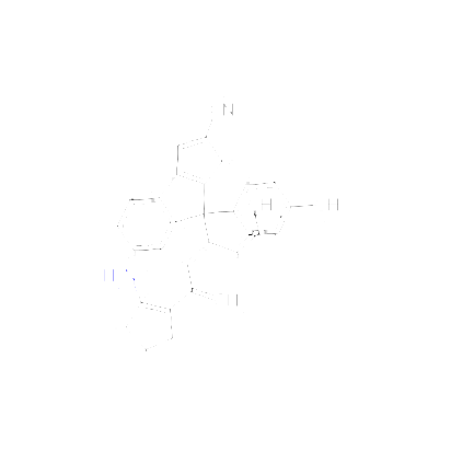 C=C(/C=C(\C=C/C)C1(c2ccc(C)cc2)C2=C(C=C(C#N)C2)c2ccccc21)C1=C(N)CCC1